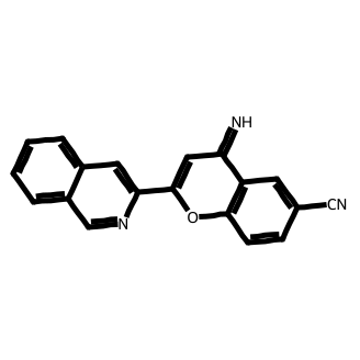 N#Cc1ccc2oc(-c3cc4ccccc4cn3)cc(=N)c2c1